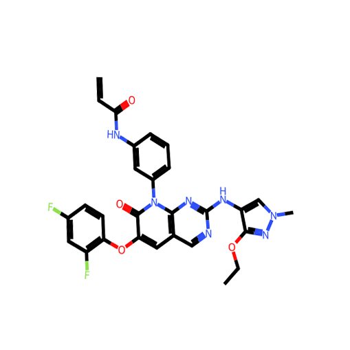 C=CC(=O)Nc1cccc(-n2c(=O)c(Oc3ccc(F)cc3F)cc3cnc(Nc4cn(C)nc4OCC)nc32)c1